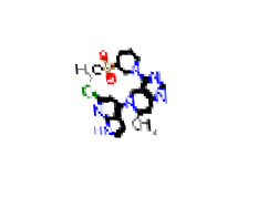 C[C@@H]1Cc2ncnc(N3CCCC(S(C)(=O)=O)C3)c2CN1c1cc(Cl)nc2[nH]ccc12